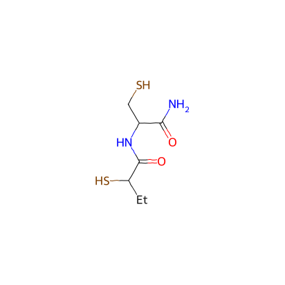 CCC(S)C(=O)NC(CS)C(N)=O